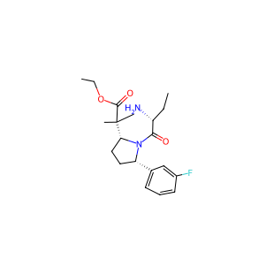 CCOC(=O)C(C)(C)[C@H]1CC[C@@H](c2cccc(F)c2)N1C(=O)[C@H](N)CC